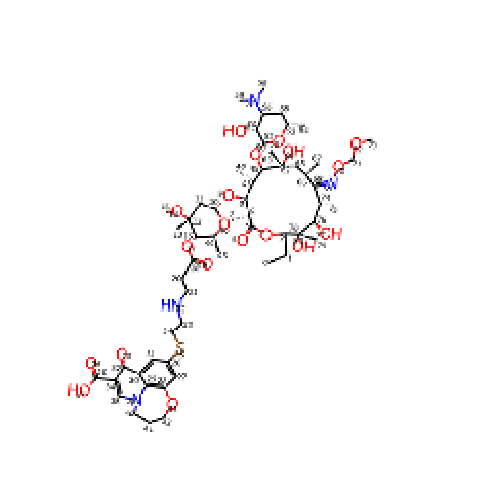 CC[C@H]1OC(=O)[C@H](C)[C@@H](O[C@H]2C[C@@](C)(OC)[C@@H](OC(=O)CCNCCSc3cc4c5c(c3)c(=O)c(C(=O)O)cn5CCCO4)[C@H](C)O2)[C@H](C)[C@@H](O[C@@H]2O[C@H](C)C[C@H](N(C)C)[C@H]2O)[C@](C)(O)C[C@@H](C)/C(=N\OCOC)[C@H](C)[C@@H](O)[C@]1(C)O